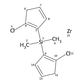 C[Si](C)(C1=C(Cl)CC=C1)C1=C(Cl)CC=C1.[Zr]